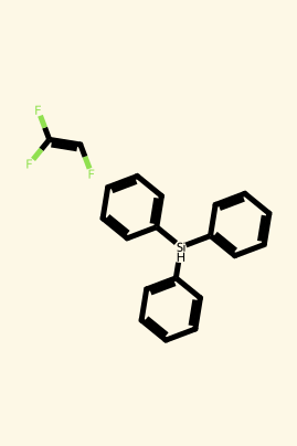 FC=C(F)F.c1ccc([SiH](c2ccccc2)c2ccccc2)cc1